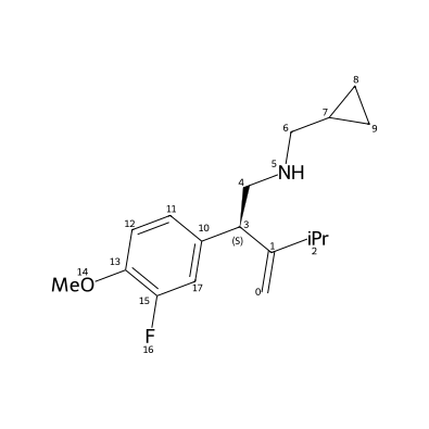 C=C(C(C)C)[C@H](CNCC1CC1)c1ccc(OC)c(F)c1